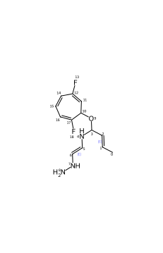 C/C=C/C(N/C=C/NN)OC1C=C(F)C=CC=C1F